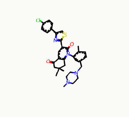 Cc1ccc(CN2CCN(C)CC2)cc1-n1c2c(cc(-c3nc(-c4ccc(Cl)cc4)cs3)c1=O)C(=O)CC(C)(C)C2